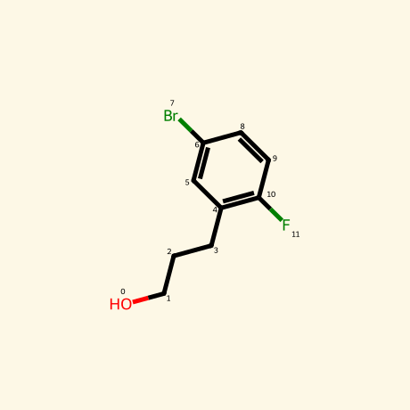 OCCCc1cc(Br)ccc1F